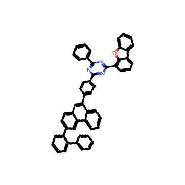 c1ccc(-c2nc(-c3ccc(-c4cc5ccc(-c6ccccc6-c6ccccc6)cc5c5ccccc45)cc3)nc(-c3cccc4c3oc3ccccc34)n2)cc1